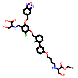 CCOC(=O)C(CO)NCCCCOc1cccc(-c2cccc(COc3cc(OCc4ccc5nonc5c4)c(CNC(CO)C(=O)O)cc3Cl)c2F)c1